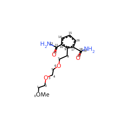 COCCOCCOCCc1c(C(N)=O)cccc1C(N)=O